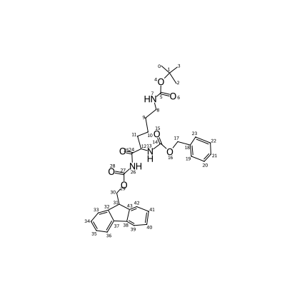 CC(C)(C)OC(=O)NCCCCC(NC(=O)OCc1ccccc1)C(=O)NC(=O)OCC1c2ccccc2-c2ccccc21